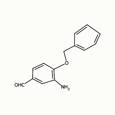 Nc1cc(C=O)ccc1OCc1ccccc1